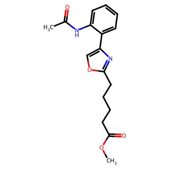 COC(=O)CCCCc1nc(-c2ccccc2NC(C)=O)co1